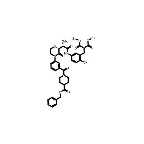 CC(=O)O[C@@H](C(=O)Nc1ccc(C#N)c(CN(C(=O)OC(C)(C)C)C(=O)OC(C)(C)C)c1)[C@H]1OCCN(c2cccc(C(=O)N3CCC(C(=O)OCc4ccccc4)CC3)c2)C1=O